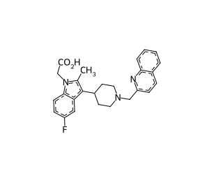 Cc1c(C2CCN(Cc3ccc4ccccc4n3)CC2)c2cc(F)ccc2n1CC(=O)O